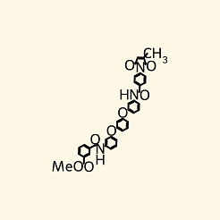 COC(=O)c1cccc(C(=O)Nc2cccc(Oc3cccc(Oc4cccc(NC(=O)c5ccc(N6C(=O)C=C(C)C6=O)cc5)c4)c3)c2)c1